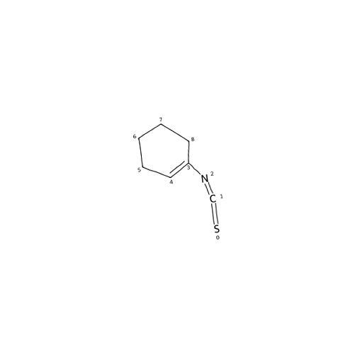 S=C=NC1=CCCCC1